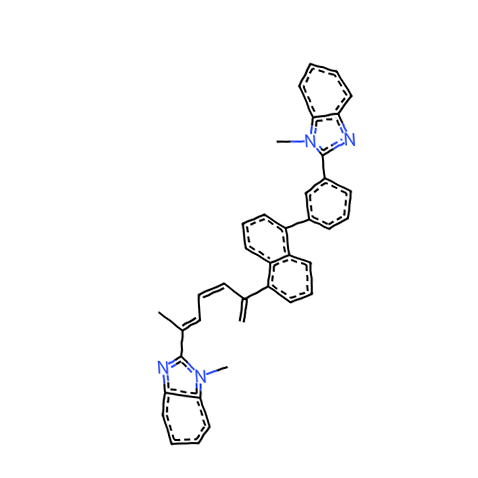 C=C(/C=C\C=C(/C)c1nc2ccccc2n1C)c1cccc2c(-c3cccc(-c4nc5ccccc5n4C)c3)cccc12